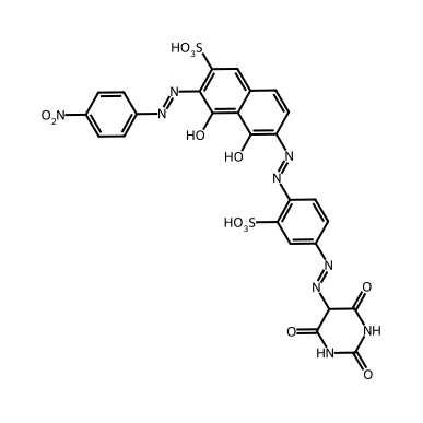 O=C1NC(=O)C(N=Nc2ccc(N=Nc3ccc4cc(S(=O)(=O)O)c(N=Nc5ccc([N+](=O)[O-])cc5)c(O)c4c3O)c(S(=O)(=O)O)c2)C(=O)N1